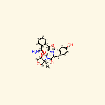 CN(C(=O)C(Cc1ccc(O)cc1)N1C=C(c2ccccc2C(N)=O)OC1)C1(C)COCC1=O